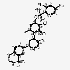 [2H]C([2H])(Oc1cc(C)n(-c2cc(-c3ccc4c(n3)C(C)(C)C=NC4)ncc2C)c(=O)c1Cl)c1ncc(F)cc1F